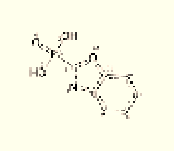 O=P(O)(O)c1nc2ccccc2o1